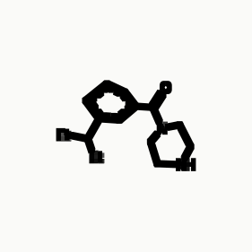 CCC(CC)c1cccc(C(=O)N2CCNCC2)c1